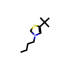 CCCCN1C=C(C(C)(C)C)SC1